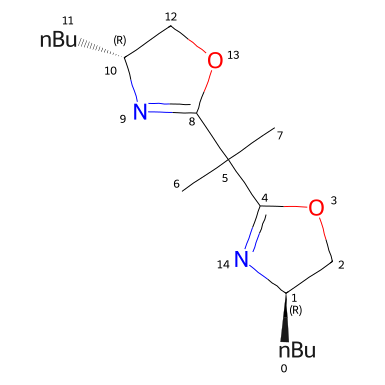 CCCC[C@@H]1COC(C(C)(C)C2=N[C@H](CCCC)CO2)=N1